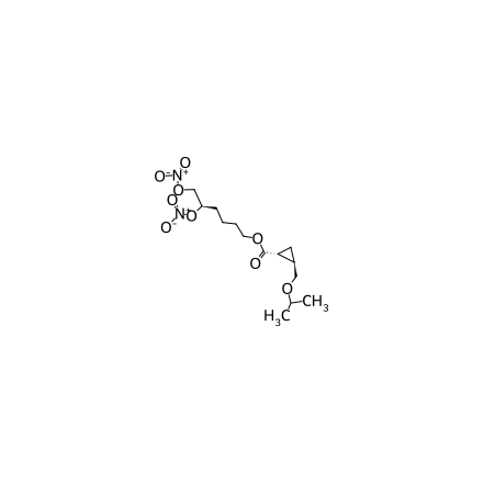 CC(C)OC[C@@H]1C[C@H]1C(=O)OCCCC[C@H](CO[N+](=O)[O-])O[N+](=O)[O-]